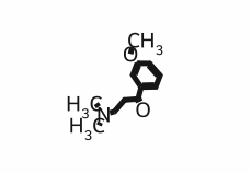 COc1cccc(C(=O)CCN(C)C)c1